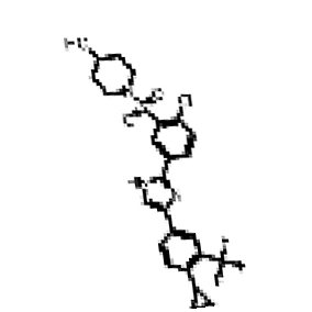 O=S(=O)(c1cc(-c2nc(-c3ccc(C4CC4)c(C(F)(F)F)c3)c[nH]2)ccc1Cl)N1CCC(O)CC1